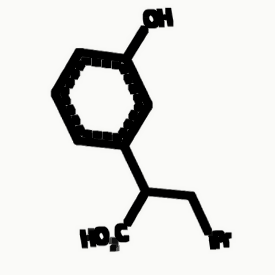 CC(C)CC(C(=O)O)c1cccc(O)c1